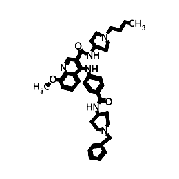 CCCCN1CCC(NC(=O)c2cnc3c(OC)cccc3c2Nc2ccc(C(=O)NC3CCN(Cc4ccccc4)CC3)cc2)CC1